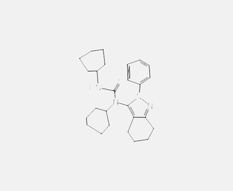 O=C(NC1CCCCC1)N(c1c2c(nn1-c1ccccc1)CCCC2)C1CCCCC1